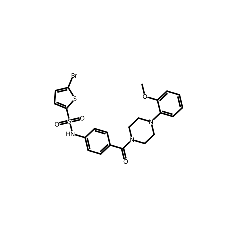 COc1ccccc1N1CCN(C(=O)c2ccc(NS(=O)(=O)c3ccc(Br)s3)cc2)CC1